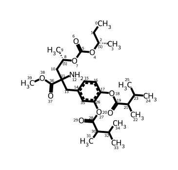 CC[C@H](C)OC(=O)O[C@@H](C)CC(N)(Cc1ccc(OC(=O)C(C)C(C)C)c(OC(=O)C(C)C(C)C)c1)C(=O)OC